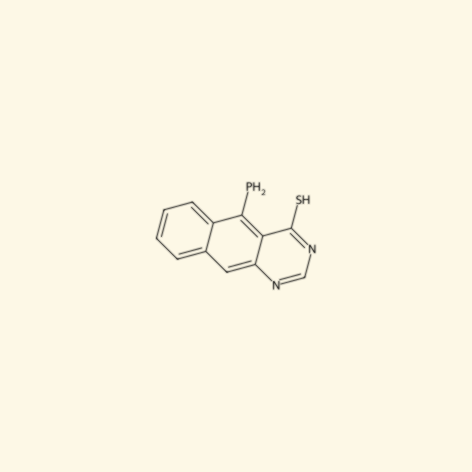 Pc1c2ccccc2cc2ncnc(S)c12